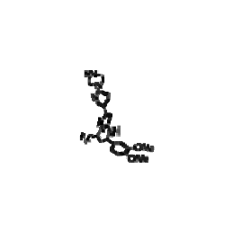 COc1ccc(C2CC(C(F)(F)F)n3nc(-c4ccc(N5CCNCC5)nc4)cc3N2)cc1OC